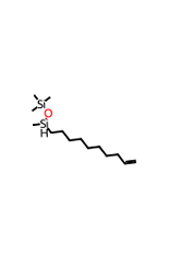 C=CCCCCCCCC[SiH](C)O[Si](C)(C)C